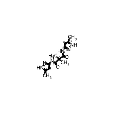 Cc1cc(NC(=O)C(C)(C)C(=O)Nc2cc(C)[nH]n2)n[nH]1